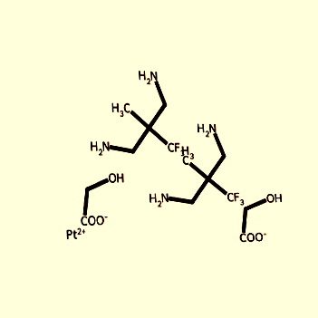 CC(CN)(CN)C(F)(F)F.CC(CN)(CN)C(F)(F)F.O=C([O-])CO.O=C([O-])CO.[Pt+2]